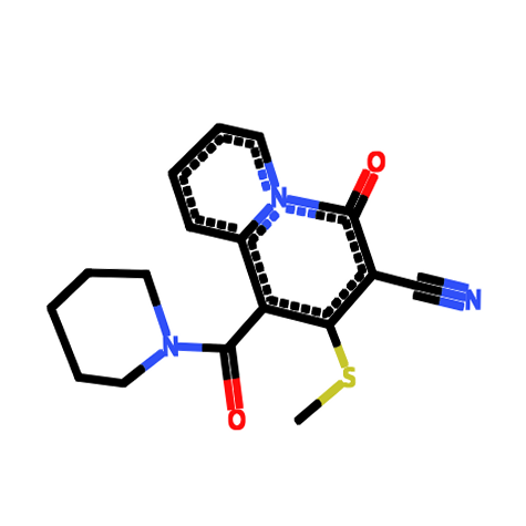 CSc1c(C#N)c(=O)n2ccccc2c1C(=O)N1CCCCC1